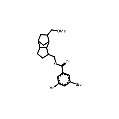 COCC1CC2CC1C1C(COC(=O)c3cc(C(C)=O)cc(C(C)(C)C)c3)CCC21